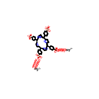 O.O.O.O.O.O.O.O.O.O.O.O.O=S(=O)([O-])c1ccc(-c2c3nc(c(-c4ccc(S(=O)(=O)[O-])cc4)c4ccc([nH]4)c(-c4ccc(S(=O)(=O)[O-])cc4)c4nc(c(-c5ccc(S(=O)(=O)[O-])cc5)c5ccc2[nH]5)C=C4)C=C3)cc1.[Mg+2].[Mg+2]